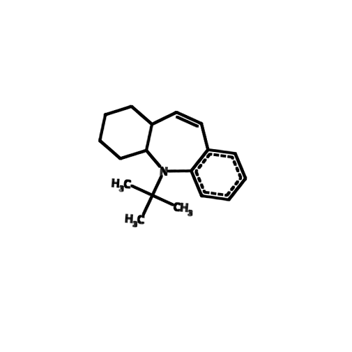 CC(C)(C)N1c2ccccc2C=CC2CCCCC21